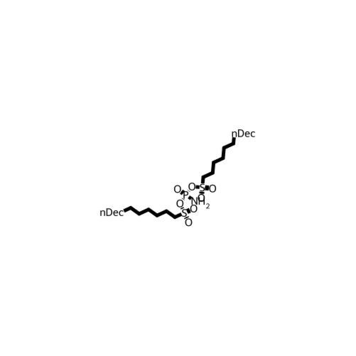 CCCCCCCCCCCCCCCCS(=O)(=O)OP(N)(=O)OS(=O)(=O)CCCCCCCCCCCCCCCC